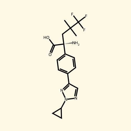 CC(C)(C[C@](N)(C(=O)O)c1ccc(-c2cnn(C3CC3)n2)cc1)C(F)(F)F